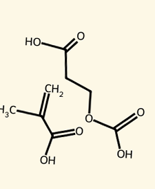 C=C(C)C(=O)O.O=C(O)CCOC(=O)O